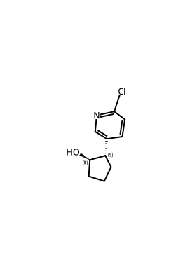 O[C@@H]1CCC[C@H]1c1ccc(Cl)nc1